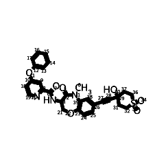 CN1C(=O)C(NC(=O)c2cc(Oc3ccccc3)ccn2)COc2ccc(C#CC3(O)CCS(=O)(=O)CC3)cc21